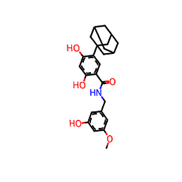 COc1cc(O)cc(CNC(=O)c2cc(C34CC5CC(CC(C5)C3)C4)c(O)cc2O)c1